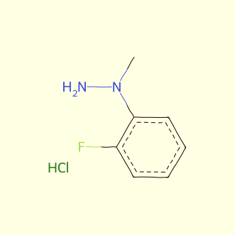 CN(N)c1ccccc1F.Cl